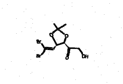 CC1(C)O[C@@H](C=C(Br)Br)[C@@H](C(=O)CO)O1